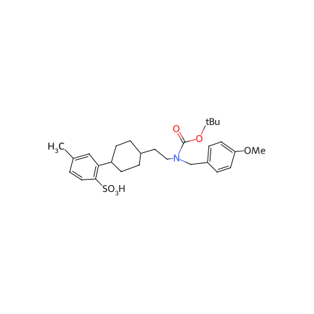 COc1ccc(CN(CCC2CCC(c3cc(C)ccc3S(=O)(=O)O)CC2)C(=O)OC(C)(C)C)cc1